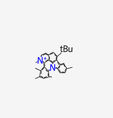 Cc1ccc2c(c1)c1c(CC(C)(C)C)cc3cc[n+](C)c4c5c(C)c(C)cc(C)c5n2c1c34